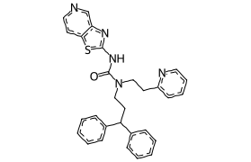 O=C(Nc1nc2cnccc2s1)N(CCc1ccccn1)CCC(c1ccccc1)c1ccccc1